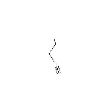 [C]#[N+]CCCC